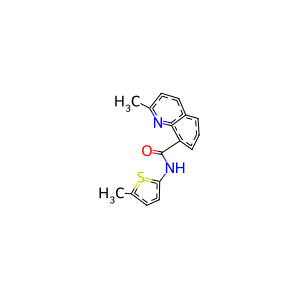 Cc1ccc2cccc(C(=O)Nc3ccc(C)s3)c2n1